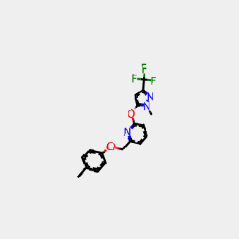 Cc1ccc(OCc2cccc(Oc3cc(C(F)(F)F)nn3C)n2)cc1